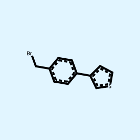 BrCc1ccc(-c2ccsc2)cc1